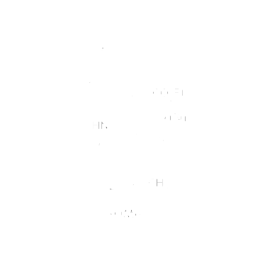 CCOC(=O)C(c1[nH]c2ccc(OC)c(C)c2c1SC(C)(C)C)C1CCCC1